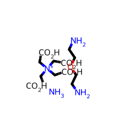 N.NCCOCCN.O=C(O)C[N+](CC(=O)O)(CC(=O)O)CC(=O)O